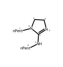 CCCCCNC1=NCCN1CCCCC